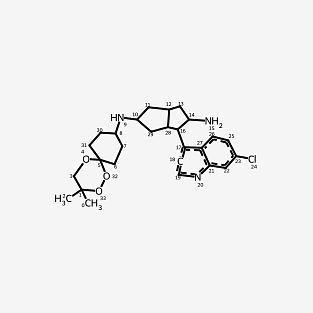 CC1(C)COC2(CCC(NC3CC4CC(N)C(c5ccnc6cc(Cl)ccc56)C4C3)CC2)OO1